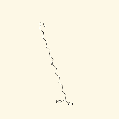 CCCCCCCC/C=C/CCCCCCCC(O)O